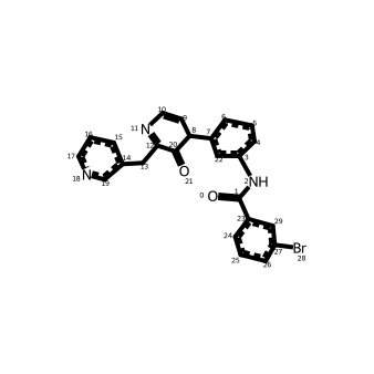 O=C(Nc1cccc(C2C=CN=C(Cc3cccnc3)C2=O)c1)c1cccc(Br)c1